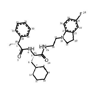 C[C@@H](C(=O)N[C@@H](CC1CCCCC1)C(=O)NCCN1CCc2cc(F)ccc21)c1ccccc1